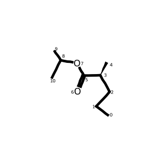 CCC[C@H](C)C(=O)OC(C)C